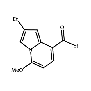 CCC(=O)c1ccc(OC)n2cc(CC)cc12